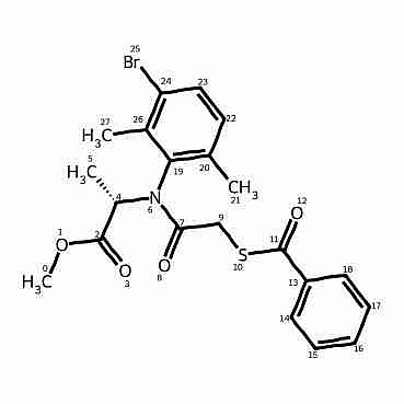 COC(=O)[C@H](C)N(C(=O)CSC(=O)c1ccccc1)c1c(C)ccc(Br)c1C